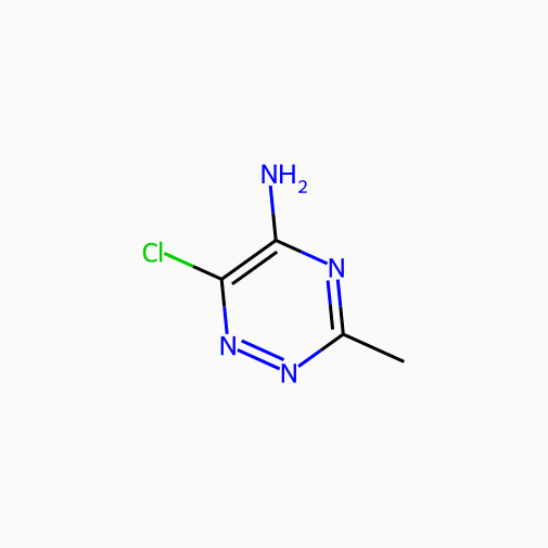 Cc1nnc(Cl)c(N)n1